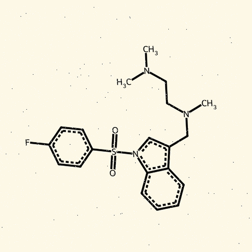 CN(C)CCN(C)Cc1cn(S(=O)(=O)c2ccc(F)cc2)c2ccccc12